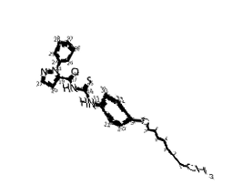 CCCCCCCCOc1ccc(NC(=S)NC(=O)c2ccnn2-c2ccccc2)cc1